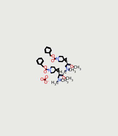 CO/C=C(\C=[N+](C)C)[C@@H]1CC12CCN(C(=O)OCc1ccccc1)CC2.CO/C=C(\C=[N+](C)C)[C@@H]1CC12CCN(C(=O)OCc1ccccc1)CC2.O=C([O-])[O-]